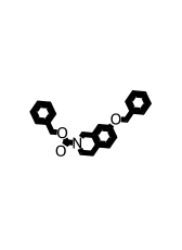 O=C(OCc1ccccc1)N1CCc2ccc(OCc3ccccc3)cc2C1